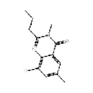 CCCc1nc2c(Cl)cc(C)cc2c(=O)n1C